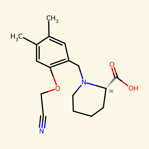 Cc1cc(CN2CCCC[C@H]2C(=O)O)c(OCC#N)cc1C